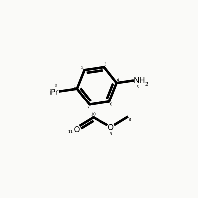 CC(C)c1ccc(N)cc1.COC=O